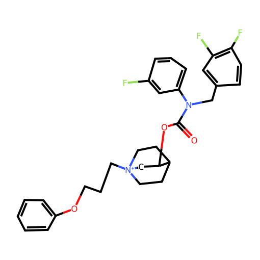 O=C(OC1C[N+]2(CCCOc3ccccc3)CCC1CC2)N(Cc1ccc(F)c(F)c1)c1cccc(F)c1